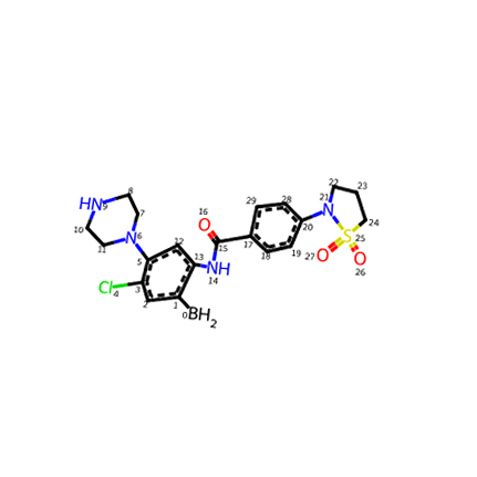 Bc1cc(Cl)c(N2CCNCC2)cc1NC(=O)c1ccc(N2CCCS2(=O)=O)cc1